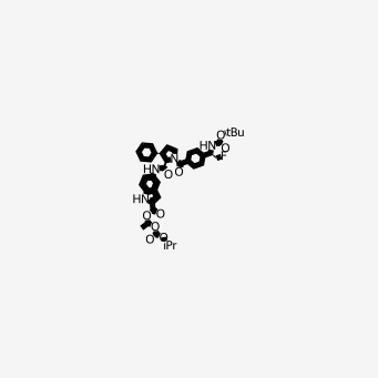 CC(C)OC(=O)OC(C)OC(=O)c1cc2cc(NC(=O)[C@H]3[C@H](C4CCCCC4)CCN3C(=O)C3CCC([C@@H](CF)NC(=O)OC(C)(C)C)CC3)ccc2[nH]1